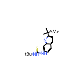 CSC(C)(C)c1ccc2ccc(NC(=S)NC(C)(C)C)cc2n1